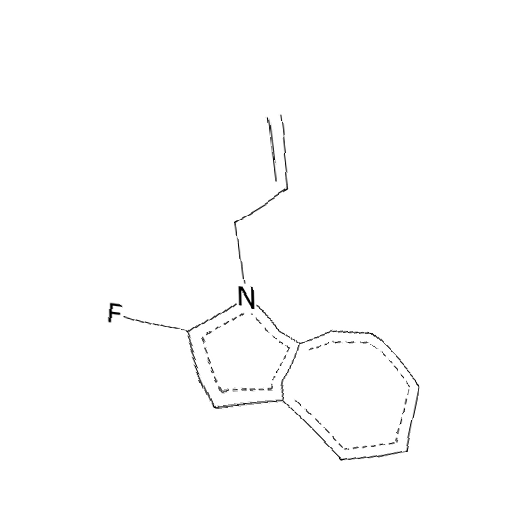 C=CCn1c(F)cc2ccccc21